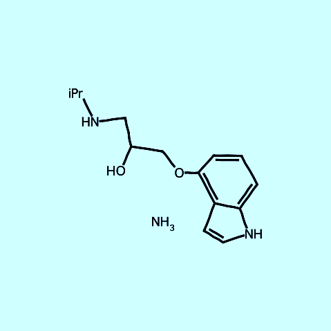 CC(C)NCC(O)COc1cccc2[nH]ccc12.N